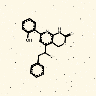 NC(Cc1ccccc1)c1cc(-c2ccccc2O)nc2c1COC(=O)N2